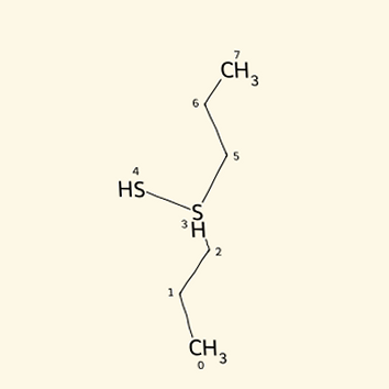 CCC[SH](S)CCC